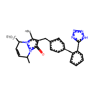 CCCCc1c(Cc2ccc(-c3ccccc3-c3nnn[nH]3)cc2)c(=O)n2n1C(C(=O)OCC)C=CC2C